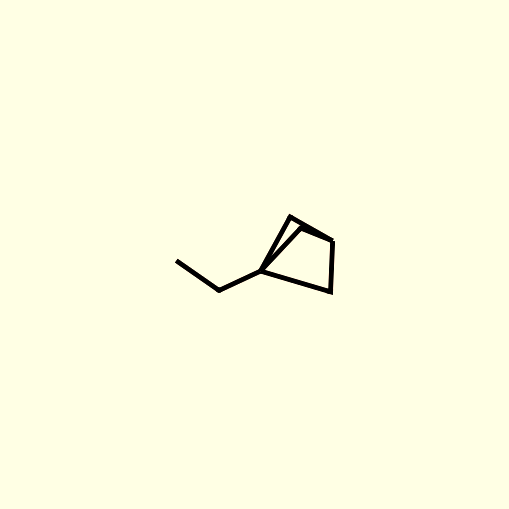 CCC12CC(C1)C2